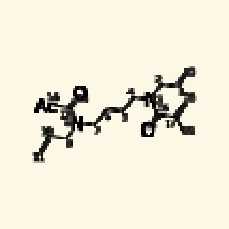 C=CCN(C/C=C/CN(CC=C)C(=O)C(C)=O)C(=O)C(=C)C